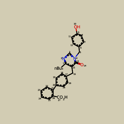 CCCCc1ncn(Cc2ccc(O)cc2)c(=O)c1Cc1ccc(-c2ccccc2C(=O)O)cc1